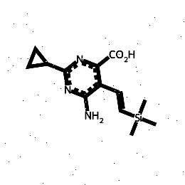 C[Si](C)(C)C=Cc1c(N)nc(C2CC2)nc1C(=O)O